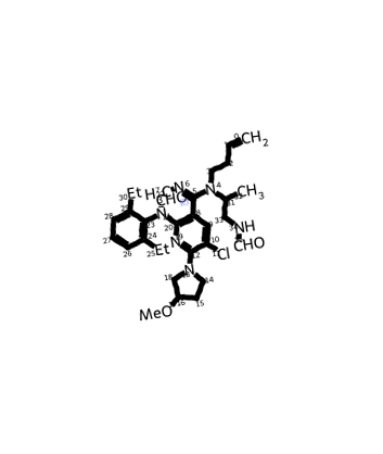 C=CCCN(/C(=N/C)c1cc(Cl)c(N2CCC(OC)C2)nc1N(C=O)c1c(CC)cccc1CC)C(C)CNC=O